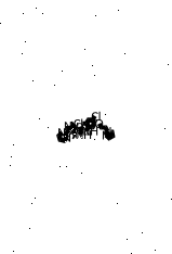 C[C@H](NC(=O)Nc1cc(OCCn2cccn2)c(Cl)cc1Cl)c1ncnn1-c1ncccn1